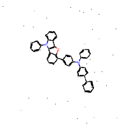 c1ccc(-c2ccc(N(c3ccccc3)c3ccc(-c4cccc5c4oc4c6ccccc6n(-c6ccccc6)c54)cc3)cc2)cc1